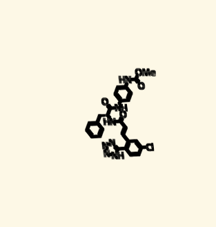 COC(=O)Nc1ccc(NC(=O)[C@H](Cc2ccccc2)NC(=O)/C=C/c2cc(Cl)ccc2-c2nnn[nH]2)cc1